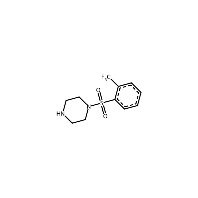 O=S(=O)(c1ccccc1C(F)(F)F)N1CCNCC1